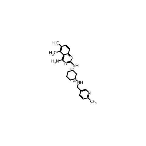 Cc1ccc2nc(N[C@H]3CCC[C@H](NCc4ccc(C(F)(F)F)nc4)C3)nc(N)c2c1C